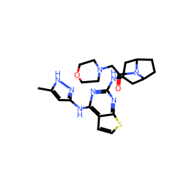 Cc1cc(Nc2nc(NC3CC4CCC(C3)N4C(=O)CN3CCOCC3)nc3sccc23)n[nH]1